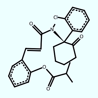 CC(C)C(=O)Oc1ccccc1/C=C/C(=O)N(C)[C@]1(c2ccccc2Cl)CCCCC1=O